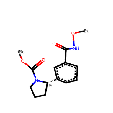 CCONC(=O)c1cc[c]c([C@@H]2CCCN2C(=O)OC(C)(C)C)c1